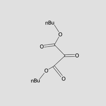 CCCCOC(=O)C(=O)C(=O)OCCCC